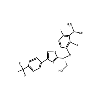 NC(O)c1c(F)ccc(O[C@H](CO)c2nc(-c3ccc(C(F)(F)F)cc3)co2)c1F